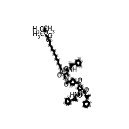 CC(C)(C)OCC(=O)OCCCCCCCCCCCCNC(=O)[C@@H]1CN(C(=O)c2ccc(C(=O)N3C[C@@H](C(=O)N[C@H]4C[C@@H]4c4ccccc4)[C@H](C(=O)N[C@H]4C[C@@H]4c4ccccc4)C3)cc2)C[C@H]1C(=O)N[C@H]1C[C@@H]1c1ccccc1